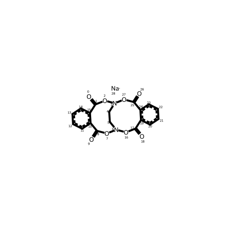 O=C1ON2CCN(OC(=O)c3ccccc31)OC(=O)c1ccccc1C(=O)O2.[Na]